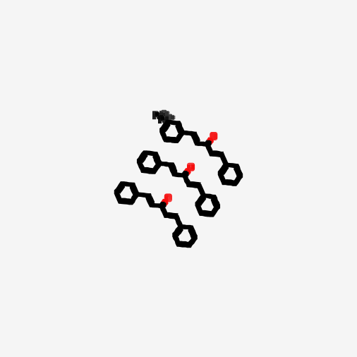 O=C(C=Cc1ccccc1)C=Cc1ccccc1.O=C(C=Cc1ccccc1)C=Cc1ccccc1.O=C(C=Cc1ccccc1)C=Cc1ccccc1.[Pd+2].[Pd+2]